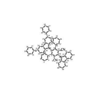 N#Cc1c(-c2ccccc2)c(-n2c3ccc(-c4ccccc4)cc3c3cc(-c4ccccc4)ccc32)c(-c2ccccc2)c(C#N)c1-n1c2ccccc2c2ccccc21